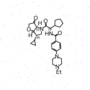 CCN1CCN(c2ccc(C(=O)N[C@H](C(=O)N3C[C@@H](C4CC4)[C@H]4OCC(=O)[C@H]43)C3CCCC3)cc2)CC1